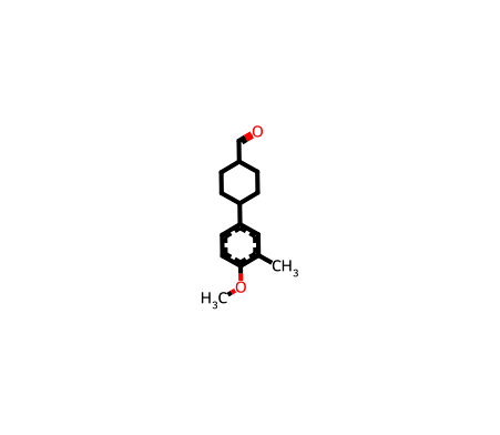 COc1ccc(C2CCC(C=O)CC2)cc1C